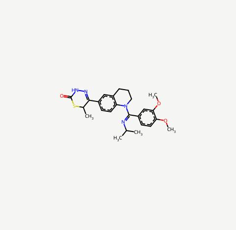 COc1ccc(C(=NC(C)C)N2CCCc3cc(C4=NNC(=O)SC4C)ccc32)cc1OC